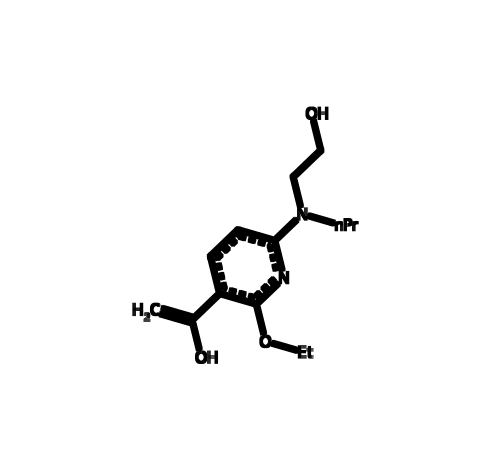 C=C(O)c1ccc(N(CCC)CCO)nc1OCC